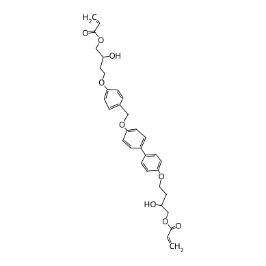 C=CC(=O)OCC(O)CCOc1ccc(COc2ccc(-c3ccc(OCCC(O)COC(=O)C=C)cc3)cc2)cc1